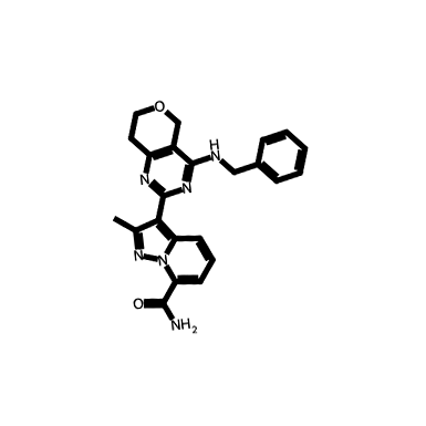 Cc1nn2c(C(N)=O)cccc2c1-c1nc2c(c(NCc3ccccc3)n1)COCC2